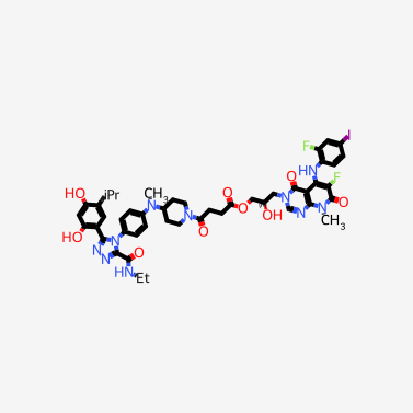 CCNC(=O)c1nnc(-c2cc(C(C)C)c(O)cc2O)n1-c1ccc(N(C)C2CCN(C(=O)CCC(=O)OC[C@H](O)Cn3cnc4c(c(Nc5ccc(I)cc5F)c(F)c(=O)n4C)c3=O)CC2)cc1